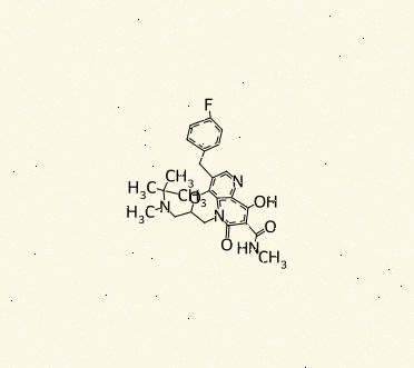 CNC(=O)c1c(O)c2ncc(Cc3ccc(F)cc3)c3c2n(c1=O)CC(CN(C)C(C)(C)C)O3